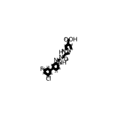 O=C(O)c1ccn2cc(C(=O)Nc3nc4cc(-c5cc(F)cc(Cl)c5)ccc4[nH]3)nc2c1